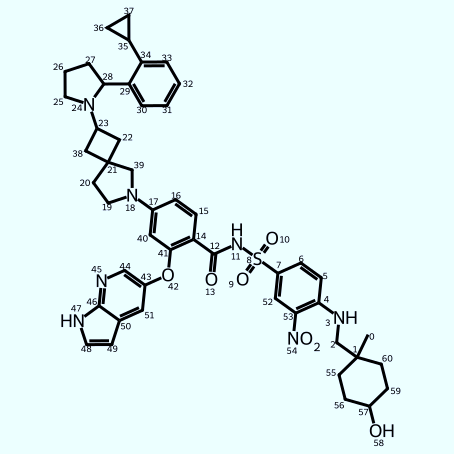 CC1(CNc2ccc(S(=O)(=O)NC(=O)c3ccc(N4CCC5(CC(N6CCCC6c6ccccc6C6CC6)C5)C4)cc3Oc3cnc4[nH]ccc4c3)cc2[N+](=O)[O-])CCC(O)CC1